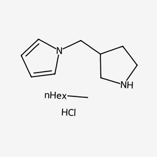 CCCCCCC.Cl.c1ccn(CC2CCNC2)c1